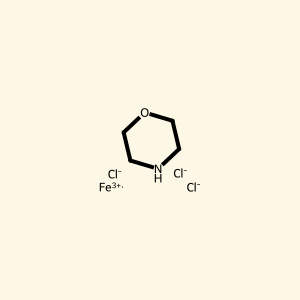 C1COCCN1.[Cl-].[Cl-].[Cl-].[Fe+3]